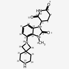 Cn1c(=O)n(C2CCC(=O)NC2=O)c2cccc(N3CC4(CCNCC4)C3)c21